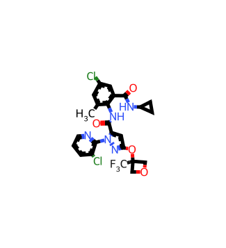 Cc1cc(Cl)cc(C(=O)NC2CC2)c1NC(=O)c1cc(OC2(C(F)(F)F)COC2)nn1-c1ncccc1Cl